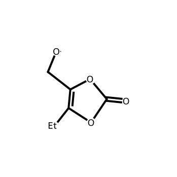 CCc1oc(=O)oc1C[O]